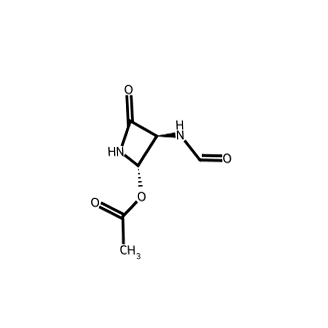 CC(=O)O[C@@H]1NC(=O)[C@H]1NC=O